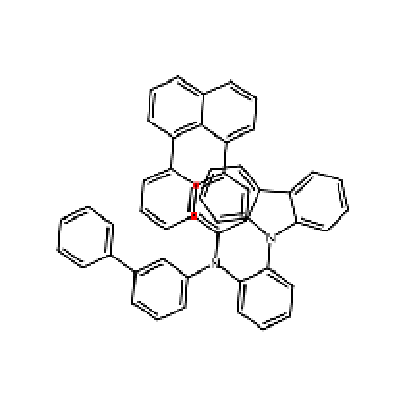 c1ccc(-c2cccc(N(c3ccc(-c4cccc5cccc(-c6ccccc6)c45)cc3)c3ccccc3-n3c4ccccc4c4ccccc43)c2)cc1